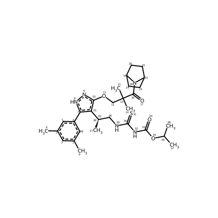 Cc1cc(C)cc(-c2[nH]nc(OCC(C)(C)C(=O)N3C4CCC3CC4)c2[C@H](C)CNC(=S)NC(=O)OC(C)C)c1